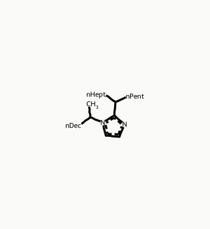 CCCCCCCCCCC(C)n1ccnc1C(CCCCC)CCCCCCC